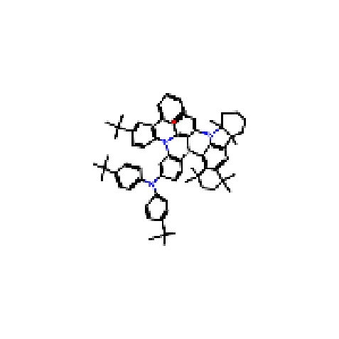 Cc1cc2c3c(c1)N1c4c(cc5c(c4B3c3ccc(N(c4ccc(C(C)(C)C)cc4)c4ccc(C(C)(C)C)cc4)cc3N2c2ccc(C(C)(C)C)cc2-c2ccccc2)C(C)(C)CCC5(C)C)C2(C)CCCCC12C